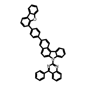 c1ccc(-c2nc(-n3c4ccccc4c4c5ccc(-c6ccc(-c7cccc8c7oc7ccccc78)cc6)cc5ccc43)nc3ccccc23)cc1